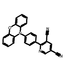 N#Cc1cnc(-c2ccc(N3c4ccccc4Oc4ccccc43)cc2)c(C#N)c1